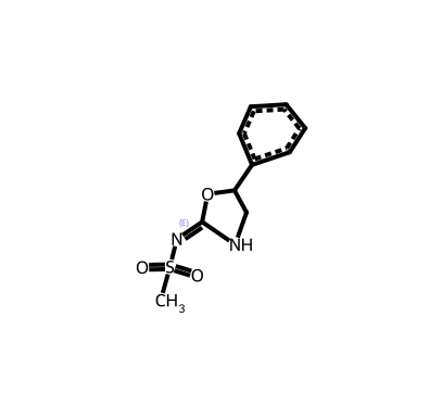 CS(=O)(=O)/N=C1\NCC(c2ccccc2)O1